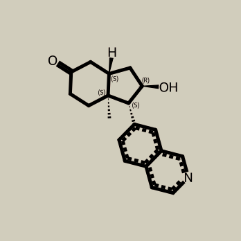 C[C@]12CCC(=O)C[C@@H]1C[C@@H](O)[C@@H]2c1ccc2ccncc2c1